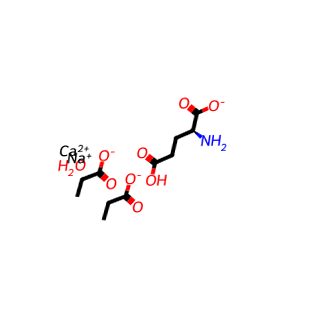 CCC(=O)[O-].CCC(=O)[O-].N[C@@H](CCC(=O)O)C(=O)[O-].O.[Ca+2].[Na+]